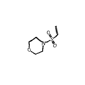 C=CS(=O)(=O)N1CCOCC1